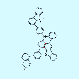 CC1C=Cc2c(cccc2-c2cccc(-c3ccc(N(c4ccc(-c5cccc6c5C(C)(C)c5ccccc5-6)cc4)c4ccccc4-c4ccc5sc6ccccc6c5c4)cc3)c2)C1